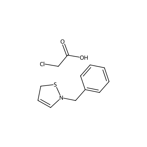 C1=CN(Cc2ccccc2)SC1.O=C(O)CCl